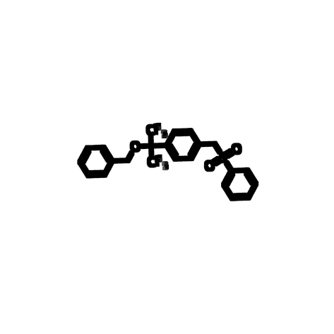 O=S(=O)(Cc1ccc(C(OCc2ccccc2)(C(F)(F)F)C(F)(F)F)cc1)c1ccccc1